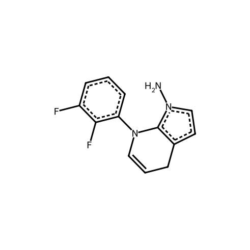 Nn1ccc2c1N(c1cccc(F)c1F)C=CC2